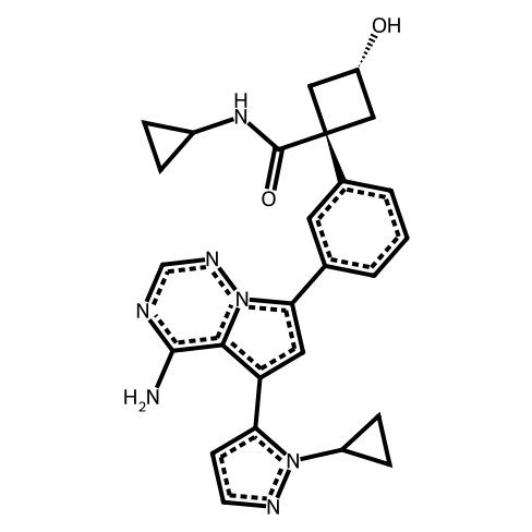 Nc1ncnn2c(-c3cccc([C@]4(C(=O)NC5CC5)C[C@@H](O)C4)c3)cc(-c3ccnn3C3CC3)c12